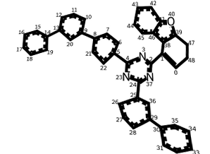 C1=C(c2nc(-c3ccc(-c4cccc(-c5ccccc5)c4)cc3)nc(-c3cccc(-c4ccccc4)c3)n2)c2c(oc3ccccc23)CC1